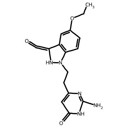 CCOc1ccc2c(c1)C(=C=O)NN2CCc1cc(=O)[nH]c(N)n1